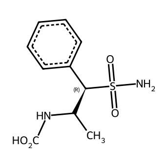 CC(NC(=O)O)[C@@H](c1ccccc1)S(N)(=O)=O